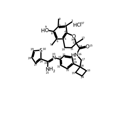 Cc1c(C)c2c(c(C)c1O)CCC(C)(C(=O)NCC1(c3ccc(/N=C(\N)c4cccs4)cc3)CCC1)O2.Cl